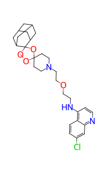 Clc1ccc2c(NCCOCCN3CCC4(CC3)OOC3(O4)C4CC5CC(C4)CC3C5)ccnc2c1